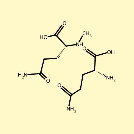 CN[C@H](CCC(N)=O)C(=O)O.NC(=O)CC[C@@H](N)C(=O)O